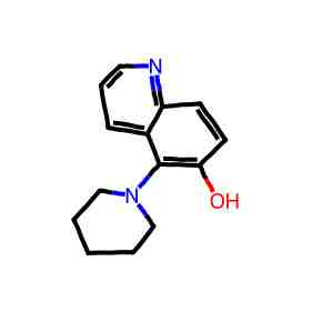 Oc1ccc2ncccc2c1N1CCCCC1